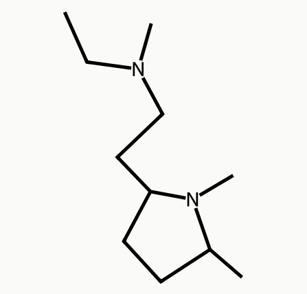 CCN(C)CCC1CCC(C)N1C